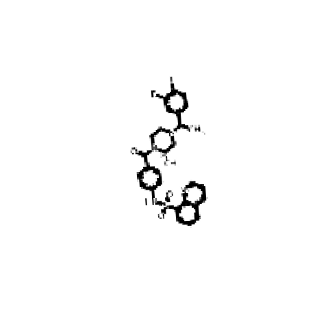 CC(c1ccc(I)c(F)c1)N1CCN(C(=O)c2ccc(NS(=O)(=O)c3cccc4cccnc34)cc2)[C@@H](C)C1